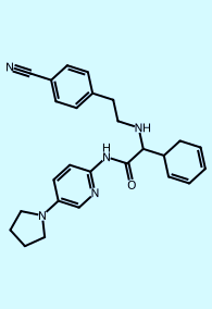 N#Cc1ccc(CCNC(C(=O)Nc2ccc(N3CCCC3)cn2)C2C=CC=CC2)cc1